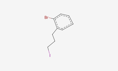 Brc1ccccc1CCCI